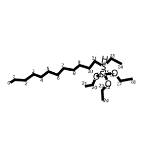 CCCCCCCCCCCC[SH](CC)[Si](OCC)(OCC)OCC